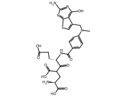 CN(Cc1csc2nc(N)nc(O)c12)c1ccc(C(=O)N[C@@H](CCC(=O)O)C(=O)C(C[C@H](N)C(=O)O)C(=O)O)cc1